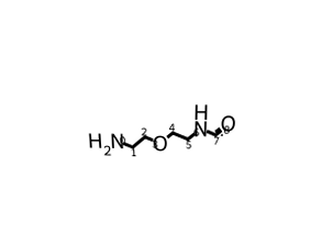 NCCOCCN[C]=O